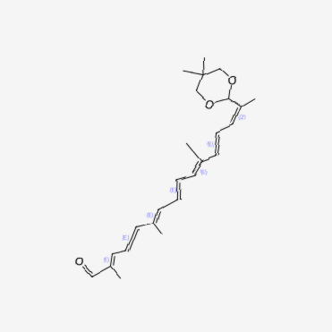 C/C(=C/C=C/C(C)=C/C=C/C=C(C)/C=C/C=C(\C)C=O)C1OCC(C)(C)CO1